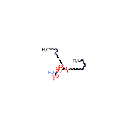 CC/C=C\C/C=C\C/C=C\CCCCCCCC(=O)OC[C@H](COP(=O)(O)OC[C@H](N)C(=O)O)OC(=O)CCCCCCC/C=C\C/C=C\CCCCC